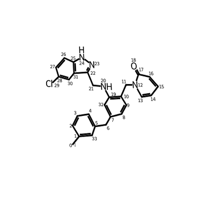 [CH]c1cccc(Cc2ccc(Cn3ccccc3=O)c(NCc3n[nH]c4ccc(Cl)cc34)c2)c1